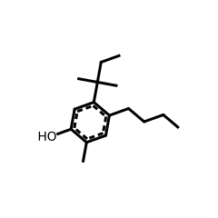 CCCCc1cc(C)c(O)cc1C(C)(C)CC